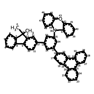 CC1(C)c2ccccc2-c2ccc(-c3cc(-c4ccc5c6ccccc6c6ccccc6c5c4)cc(N4c5ccccc5Oc5ccccc54)c3)cc21